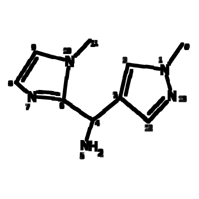 Cn1cc(C(N)c2nccn2C)cn1